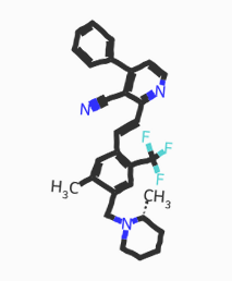 Cc1cc(/C=C/c2nccc(-c3ccccc3)c2C#N)c(C(F)(F)F)cc1CN1CCCC[C@H]1C